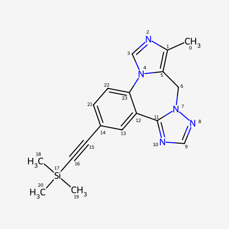 Cc1ncn2c1Cn1ncnc1-c1cc(C#C[Si](C)(C)C)ccc1-2